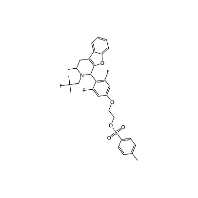 Cc1ccc(S(=O)(=O)OCCOc2cc(F)c(C3c4oc5ccccc5c4CC(C)N3CC(C)(C)F)c(F)c2)cc1